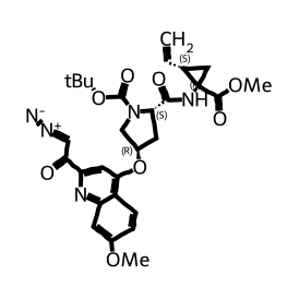 C=C[C@@H]1C[C@]1(NC(=O)[C@@H]1C[C@@H](Oc2cc(C(=O)C=[N+]=[N-])nc3cc(OC)ccc23)CN1C(=O)OC(C)(C)C)C(=O)OC